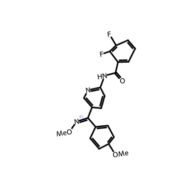 CO/N=C(\c1ccc(OC)cc1)c1ccc(NC(=O)c2cccc(F)c2F)nc1